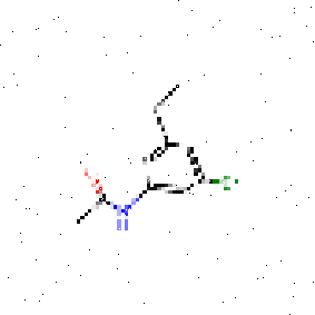 CCc1cc(Br)cc(NC(C)=O)c1